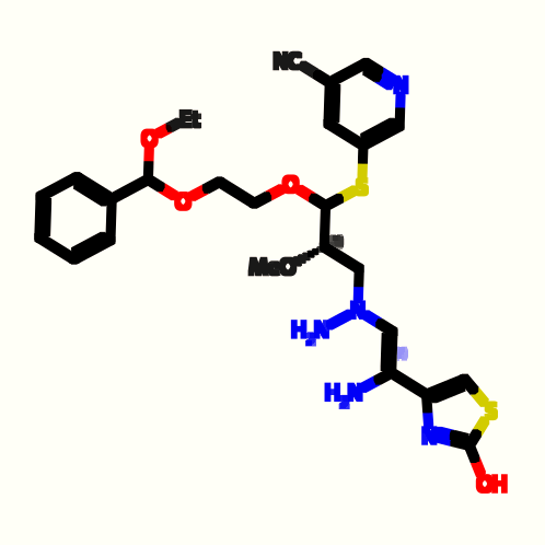 CCOC(OCCOC(Sc1cncc(C#N)c1)[C@H](CN(N)/C=C(\N)c1csc(O)n1)OC)c1ccccc1